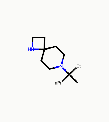 CCCC(C)(CC)N1CCC2(CCN2)CC1